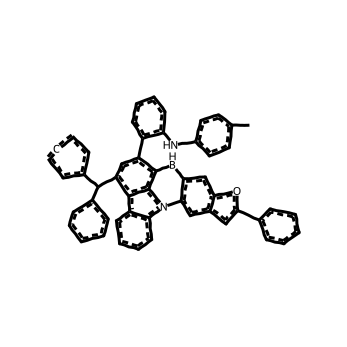 Cc1ccc(Nc2ccccc2-c2cc(C(c3ccccc3)c3ccccc3)c3c4ccccc4n4c3c2Bc2cc3oc(-c5ccccc5)cc3cc2-4)cc1